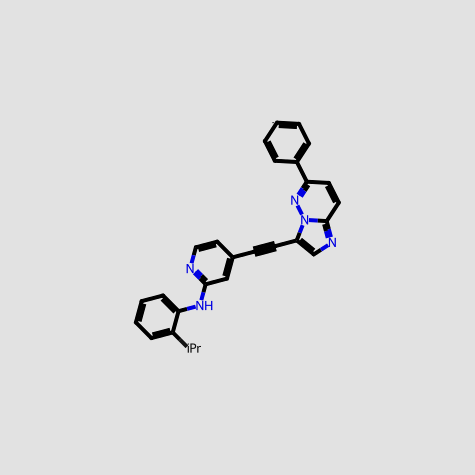 CC(C)c1ccccc1Nc1cc(C#Cc2cnc3ccc(-c4cc[c]cc4)nn23)ccn1